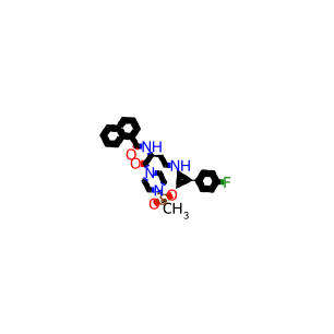 CS(=O)(=O)N1CCN(C(=O)[C@H](CCN[C@@H]2C[C@H]2c2ccc(F)cc2)NC(=O)c2cccc3ccccc23)CC1